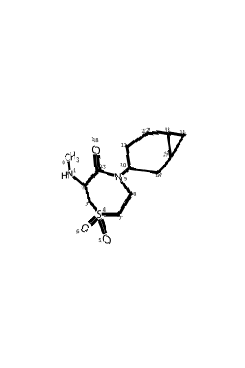 CNC1CS(=O)(=O)CCN(C2CCC3CC3C2)C1=O